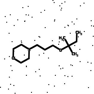 CCC(C)(C)OCCCN1CCOCC1